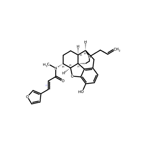 C=CCN1CC[C@]23c4c5ccc(O)c4O[C@H]2[C@H](N(C)C(=O)/C=C/c2ccoc2)CC[C@H]3[C@H]1C5